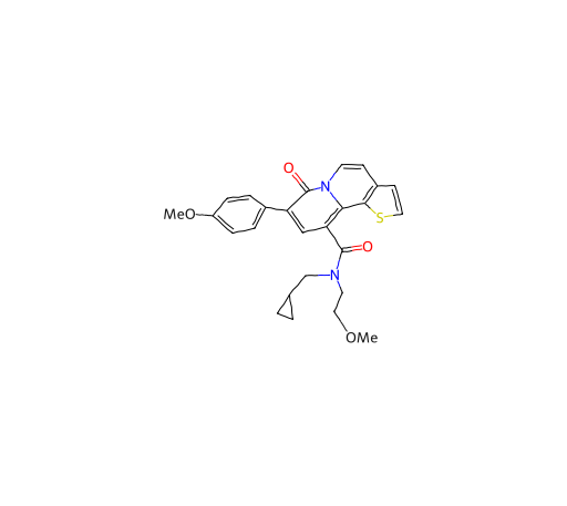 COCCN(CC1CC1)C(=O)c1cc(-c2ccc(OC)cc2)c(=O)n2ccc3ccsc3c12